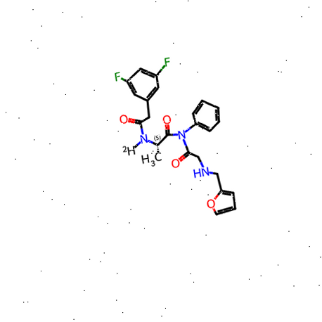 [2H]N(C(=O)Cc1cc(F)cc(F)c1)[C@@H](C)C(=O)N(C(=O)CNCc1ccco1)c1ccccc1